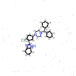 Clc1ccc(N2CCN(C(c3ccccc3)c3ccccc3)CC2)cc1-c1nc2ccccc2[nH]1